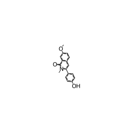 COc1ccc2cc(-c3ccc(O)cc3)n(C)c(=O)c2c1